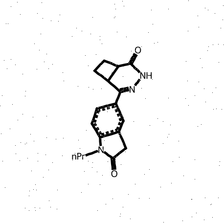 CCCN1C(=O)Cc2cc(C3=NNC(=O)C4CCC34)ccc21